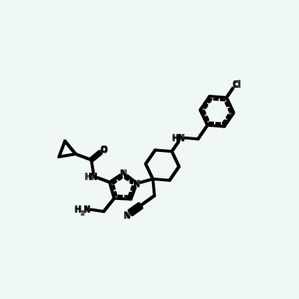 N#CCC1(n2cc(CN)c(NC(=O)C3CC3)n2)CCC(NCc2ccc(Cl)cc2)CC1